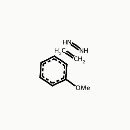 C=C.COc1ccccc1.N=N